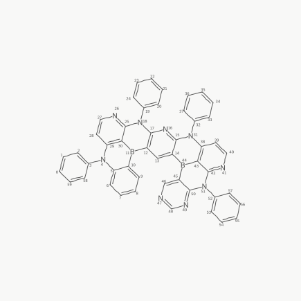 c1ccc(N2c3ccccc3B3c4cc5c(nc4N(c4ccccc4)c4nccc2c43)N(c2ccccc2)c2ccnc3c2B5c2cncnc2N3c2ccccc2)cc1